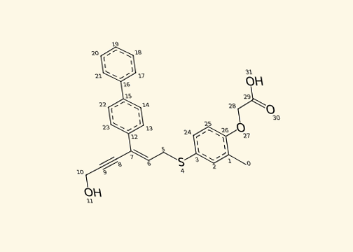 Cc1cc(SC/C=C(/C#CCO)c2ccc(-c3ccccc3)cc2)ccc1OCC(=O)O